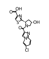 O=C(O)c1csc([C@H]2C[C@H](O)CN2C(=O)c2cn3cc(Cl)ccc3n2)n1